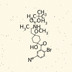 COC1(C[C@H](C)NC(=O)OC(C)(C)C)CCC(O)(C(=O)c2cc(C#N)ccc2Br)CC1